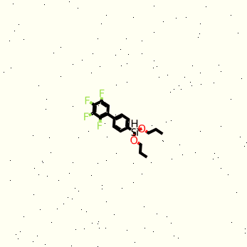 CCCO[SiH](OCCC)c1ccc(-c2cc(F)c(F)c(F)c2F)cc1